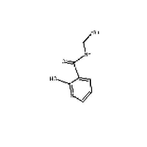 CC(C)(C)CNC(=O)c1cccnc1O